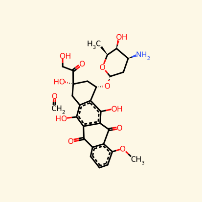 C=O.COc1cccc2c1C(=O)c1c(O)c3c(c(O)c1C2=O)C[C@@](O)(C(=O)CO)C[C@@H]3O[C@H]1C[C@H](N)[C@H](O)[C@H](C)O1